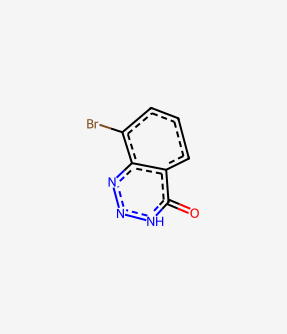 O=c1[nH]nnc2c(Br)cccc12